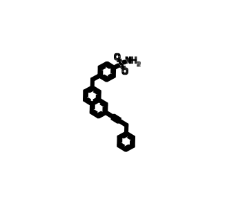 NS(=O)(=O)c1ccc(Cc2ccc3ccc(C#CCc4ccccc4)cc3c2)cc1